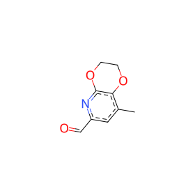 Cc1cc(C=O)nc2c1OCCO2